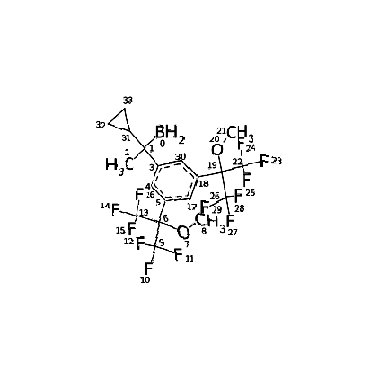 BC(C)(c1cc(C(OC)(C(F)(F)F)C(F)(F)F)cc(C(OC)(C(F)(F)F)C(F)(F)F)c1)C1CC1